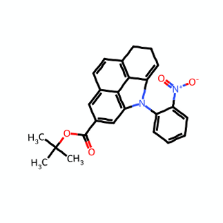 CC(C)(C)OC(=O)c1cc2ccc3c4c(n(-c5ccccc5[N+](=O)[O-])c(c1)c24)=CCC3